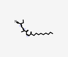 C=C(/C=C\C(=C)/C(C)=C/C=C(/C#N)CC)CCCCCCCCC